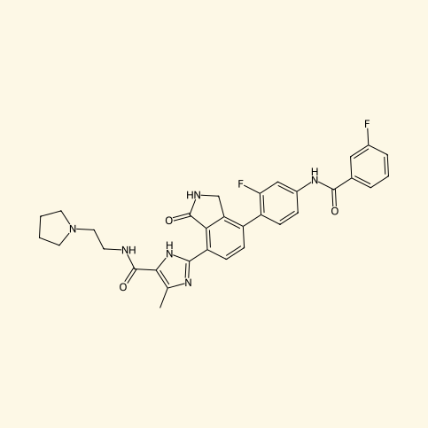 Cc1nc(-c2ccc(-c3ccc(NC(=O)c4cccc(F)c4)cc3F)c3c2C(=O)NC3)[nH]c1C(=O)NCCN1CCCC1